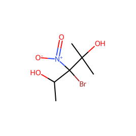 CC(O)C(Br)([N+](=O)[O-])C(C)(C)O